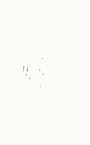 CCn1nc(C)c(=O)n(-c2ccc(F)cc2)c1=O